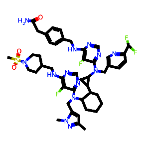 Cc1cc(CN(c2ncnc(NCC3CCN(S(C)(=O)=O)CC3)c2F)C2CCCCC2C2CC2N(Cc2ccc(C(F)F)nc2)c2ncnc(NCc3ccc(CC(N)=O)cc3)c2F)n(C)n1